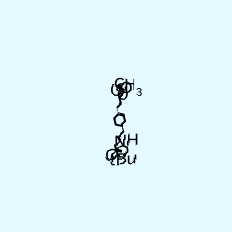 CC(C)(C)OC(=O)CNCC[C@H]1CC[C@H](CCCOS(C)(=O)=O)CC1